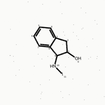 OC1Cc2ccccc2C1NI